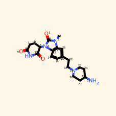 Cn1c(=O)n(C2CCC(=O)NC2=O)c2ccc(CCN3CCC(N)CC3)cc21